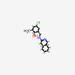 Cc1cc(Cl)cc(/C=N/c2cc3ccccc3cn2)c1O